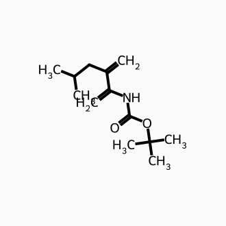 C=C(CC(C)C)C(=C)NC(=O)OC(C)(C)C